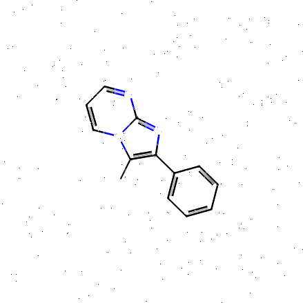 CC(C)(C)c1c(-c2ccccc2)nc2ncccn12